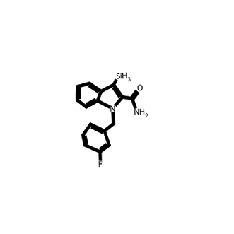 NC(=O)c1c([SiH3])c2ccccc2n1Cc1cccc(F)c1